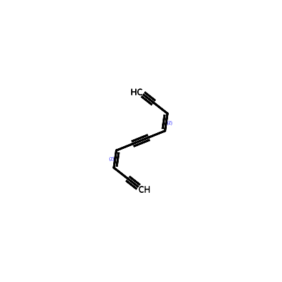 C#C/C=C\C#C/C=C\C#C